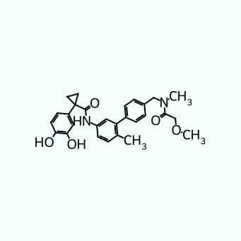 COCC(=O)N(C)Cc1ccc(-c2cc(NC(=O)C3(c4ccc(O)c(O)c4)CC3)ccc2C)cc1